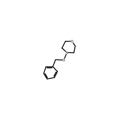 c1ccc(CON2CCOCC2)cc1